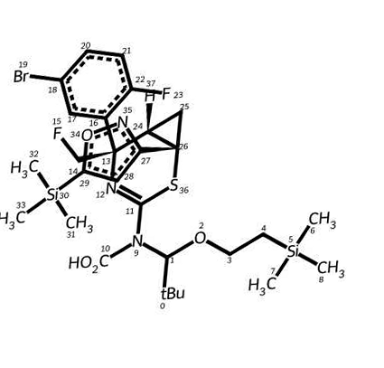 CC(C)(C)C(OCC[Si](C)(C)C)N(C(=O)O)C1=N[C@](CF)(c2cc(Br)ccc2F)[C@@H]2C[C@]2(c2cc([Si](C)(C)C)on2)S1